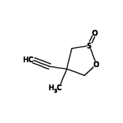 C#CC1(C)COS(=O)C1